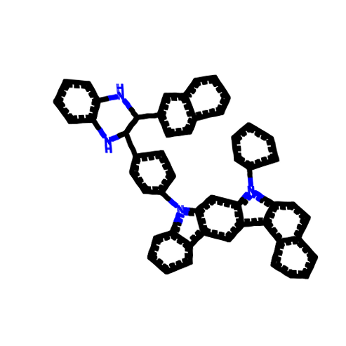 c1ccc(-n2c3cc4c(cc3c3c5ccccc5ccc32)c2ccccc2n4-c2ccc(C3Nc4ccccc4NC3c3ccc4ccccc4c3)cc2)cc1